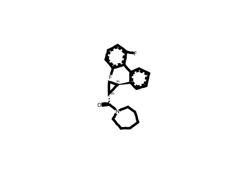 O=C([C@@H]1C[C@H]1c1ccccc1-c1c(F)cccc1F)N1CCCCCC1